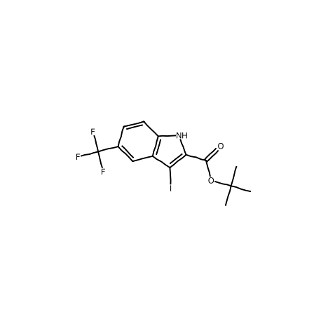 CC(C)(C)OC(=O)c1[nH]c2ccc(C(F)(F)F)cc2c1I